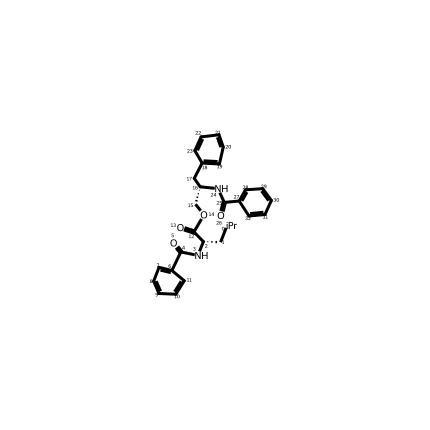 CC(C)C[C@H](NC(=O)c1ccccc1)C(=O)OC[C@H](Cc1ccccc1)NC(=O)c1ccccc1